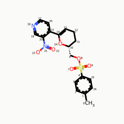 Cc1ccc(S(=O)(=O)OC[C@H]2[C][C]C=C(c3ccncc3[N+](=O)[O-])O2)cc1